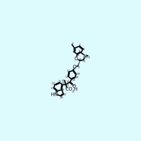 Cc1ccc2c(c1)O[C@H](COc1ccc(C(=O)C(C)(C(=O)O)c3cccc4[nH]ccc34)cc1)CN2C